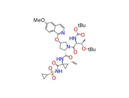 C=C[C@@H]1C[C@]1(NC(=O)[C@@H]1C[C@@H](Oc2nccc3cc(OC)ccc23)CN1C(=O)[C@@H](NC(=O)OC(C)(C)C)[C@@H](C)OC(C)(C)C)C(=O)NS(=O)(=O)C1CC1